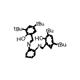 CC(C)(C)c1cc(C=Nc2ccccc2N=Cc2cc(C(C)(C)C)cc(C(C)(C)C)c2O)c(O)c(C(C)(C)C)c1